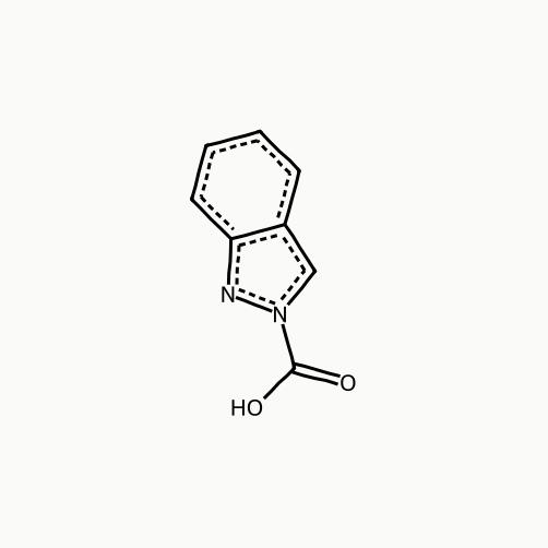 O=C(O)n1cc2ccccc2n1